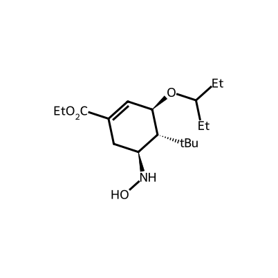 CCOC(=O)C1=C[C@@H](OC(CC)CC)[C@H](C(C)(C)C)[C@@H](NO)C1